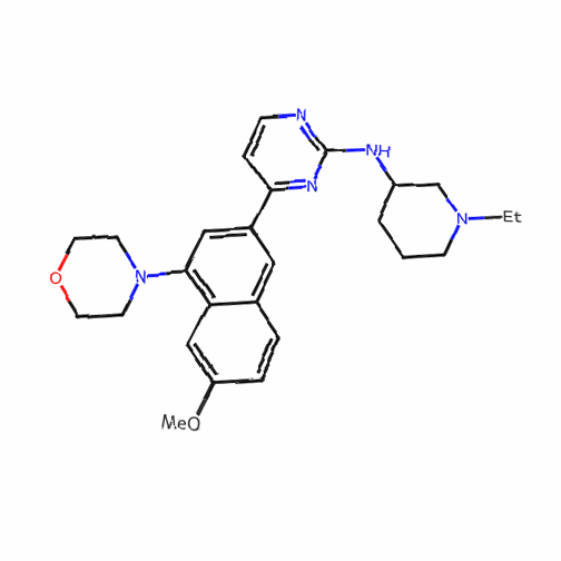 CCN1CCCC(Nc2nccc(-c3cc(N4CCOCC4)c4cc(OC)ccc4c3)n2)C1